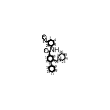 O=Nc1cccc(NC(=O)c2ccc(-c3ccccc3)c(CN3CCCCC3)c2)c1